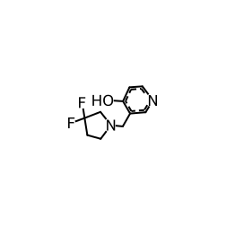 Oc1ccncc1CN1CCC(F)(F)C1